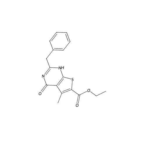 CCOC(=O)c1sc2[nH]c(Cc3ccccc3)nc(=O)c2c1C